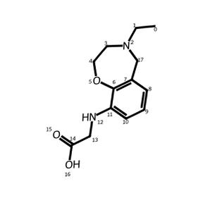 CCN1CCOc2c(cccc2NCC(=O)O)C1